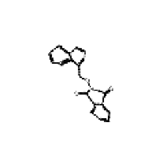 O=C1c2ccccc2C(=O)N1OCc1cccc2ccccc12